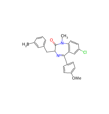 Bc1cccc(CC2N=C(c3ccc(OC)cc3)c3cc(Cl)ccc3N(C)C2=O)c1